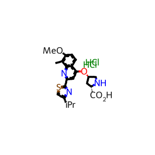 COc1ccc2c(O[C@H]3CN[C@H](C(=O)O)C3)cc(-c3nc(C(C)C)cs3)nc2c1C.Cl.Cl